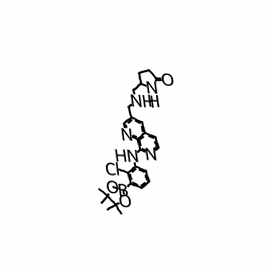 CC1(C)OB(c2cccc(Nc3nccc4cc(CNCC5CCC(=O)N5)cnc34)c2Cl)OC1(C)C